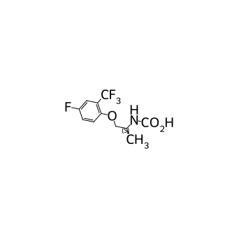 C[C@@H](COc1ccc(F)cc1C(F)(F)F)NC(=O)O